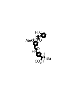 CCCCNC(CC(=O)O)c1ccc(NC(=O)Cc2ccc(NC(=O)Nc3ccccc3C)c(OC)c2)cc1